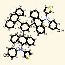 Cc1ccc(N(c2ccsc2)c2c3ccccc3c(-c3cc(-c4c5ccccc5cc5ccccc45)cc(-c4c5ccccc5c(N(c5ccc(C)cc5)c5ccsc5)c5ccccc45)c3)c3ccccc23)cc1